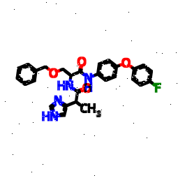 CC(C(=O)NC(COCc1ccccc1)C(=O)Nc1ccc(Oc2ccc(F)cc2)cc1)c1c[nH]cn1